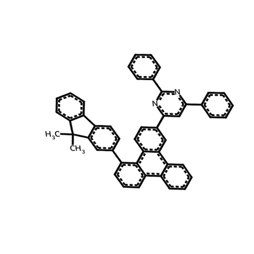 CC1(C)c2ccccc2-c2ccc(-c3cccc4c5ccccc5c5cc(-c6cc(-c7ccccc7)nc(-c7ccccc7)n6)ccc5c34)cc21